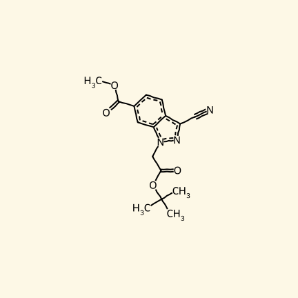 COC(=O)c1ccc2c(C#N)nn(CC(=O)OC(C)(C)C)c2c1